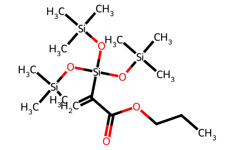 C=C(C(=O)OCCC)[Si](O[Si](C)(C)C)(O[Si](C)(C)C)O[Si](C)(C)C